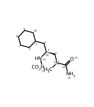 CN(C[C@H](CC1CCCCC1)NC(=O)O)C(N)=O